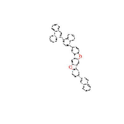 C1=CC2Oc3cc4c(cc3C2C=C1c1ccc(-c2cc3ccccc3c3ccccc23)c2ccccc12)oc1ccc(-c2ccc3ccccc3c2)cc14